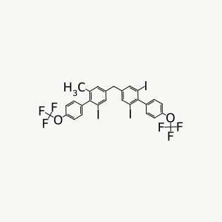 Cc1cc(Cc2cc(I)c(-c3ccc(OC(F)(F)F)cc3)c(I)c2)cc(I)c1-c1ccc(OC(F)(F)F)cc1